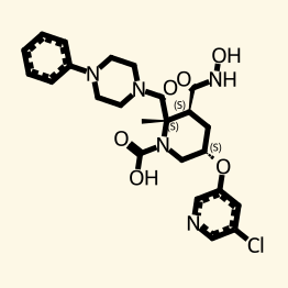 C[C@@]1(C(=O)N2CCN(c3ccccc3)CC2)[C@@H](C(=O)NO)C[C@H](Oc2cncc(Cl)c2)CN1C(=O)O